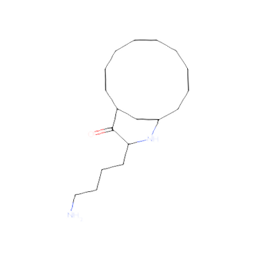 NCCCCC1NC2CCCCCCCCCC(C2)C1=O